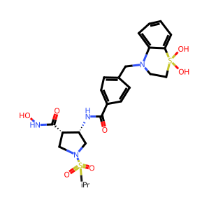 CC(C)S(=O)(=O)N1C[C@H](C(=O)NO)[C@H](NC(=O)c2ccc(CN3CCS(O)(O)c4ccccc43)cc2)C1